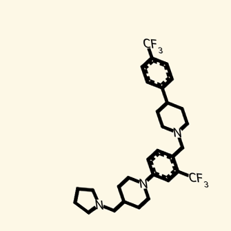 FC(F)(F)c1ccc(C2CCN(Cc3ccc(N4CCC(CN5CCCC5)CC4)cc3C(F)(F)F)CC2)cc1